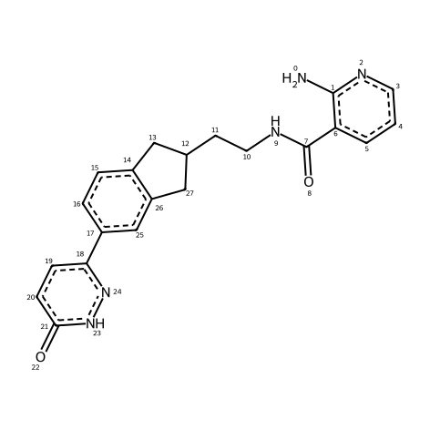 Nc1ncccc1C(=O)NCCC1Cc2ccc(-c3ccc(=O)[nH]n3)cc2C1